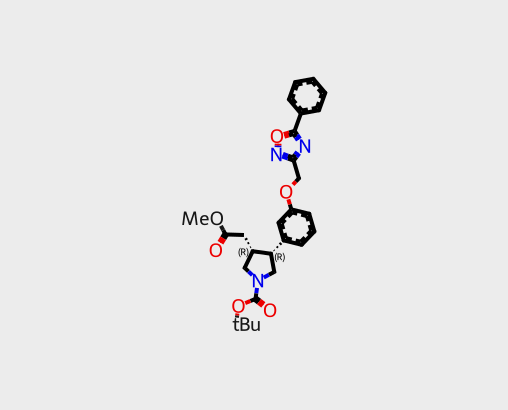 COC(=O)C[C@H]1CN(C(=O)OC(C)(C)C)C[C@H]1c1cccc(OCc2noc(-c3ccccc3)n2)c1